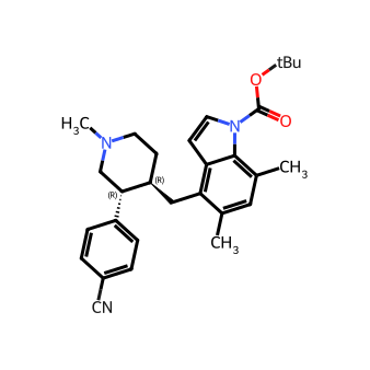 Cc1cc(C)c2c(ccn2C(=O)OC(C)(C)C)c1C[C@@H]1CCN(C)C[C@H]1c1ccc(C#N)cc1